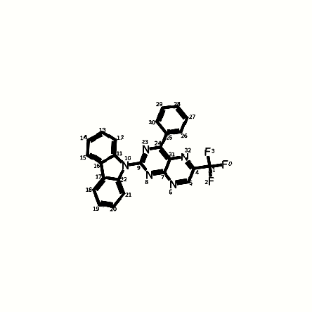 FC(F)(F)c1cnc2nc(-n3c4ccccc4c4ccccc43)nc(-c3ccccc3)c2n1